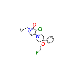 O=c1c(Cl)c(N2CCC(OCCF)(c3ccccc3)CC2)ccn1CC1CC1